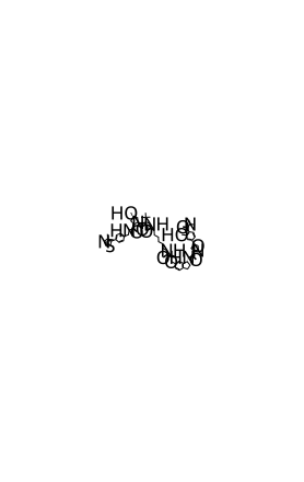 Cc1ncsc1-c1ccc(CNC(=O)[C@@H]2C[C@@H](O)CN2C(=O)C(NC(=O)CCCCCCNC(=O)COc2ccc3c(c2)[C@H](NC(=O)c2cc(-c4ccc(C(=O)N(C)C)c(O)c4)on2)CC3)C(C)(C)C)cc1